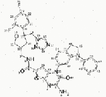 Nc1nc2sc(C(=O)NCC3COC(Cn4cncn4)(c4ccc(F)cc4F)C3)cc2n(-c2ccc3c(c2)N(c2ccccc2)CC3)c1=O